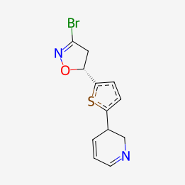 BrC1=NO[C@@H](c2ccc(C3C=CC=NC3)s2)C1